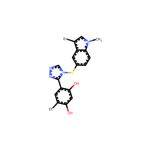 CCc1cc(-c2nncn2Sc2ccc3c(c2)c(CC)cn3C)c(O)cc1O